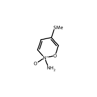 CSC1=CO[N+](N)([O-])C=C1